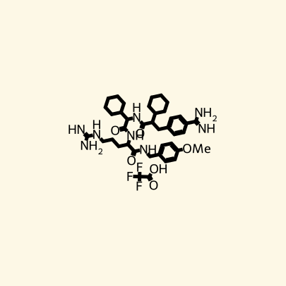 COc1ccc(CNC(=O)C(CCCNC(=N)N)NC(=O)C(NC(=O)C(Cc2ccc(C(=N)N)cc2)C2CCCCC2)C2CCCCC2)cc1.O=C(O)C(F)(F)F